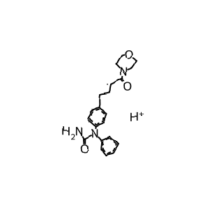 NC(=O)N(c1ccccc1)c1ccc(CC[CH]C(=O)N2CCOCC2)cc1.[H+]